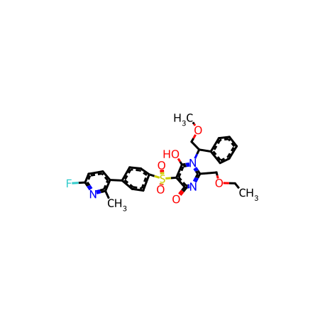 CCOCc1nc(=O)c(S(=O)(=O)c2ccc(-c3ccc(F)nc3C)cc2)c(O)n1C(COC)c1ccccc1